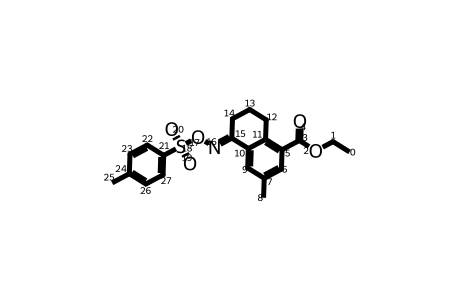 CCOC(=O)c1cc(C)cc2c1CCCC2=NOS(=O)(=O)c1ccc(C)cc1